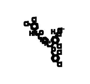 O.O=C(Cn1cc[n+](CC(OCc2ccc(Cl)cc2Cl)c2ccc(Cl)cc2Cl)c1)Nc1ccc(Cl)c(Cl)c1.[Cl-]